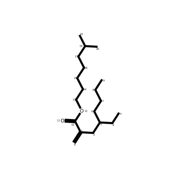 C=C(CC(CC)CCCC)C(=O)OCCCCCC(C)C